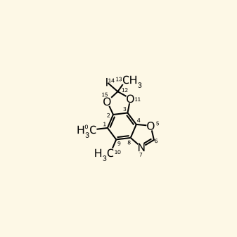 Cc1c2c(c3ocnc3c1C)OC(C)(I)O2